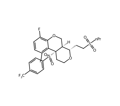 CCCS(=O)(=O)CC[C@@H]1OCC[C@@]2(S(=O)(=O)c3ccc(C(F)(F)F)cc3)c3c(F)ccc(F)c3OC[C@@H]12